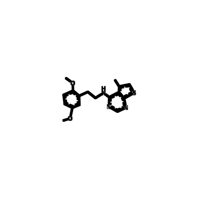 COc1ccc(OC)c(CCNc2ncnc3scc(C)c23)c1